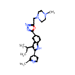 Cc1cc(-c2[nH]c3ccc(-c4nnc(CN5CCN(C)CC5)o4)cc3c2C(C)C)ccn1